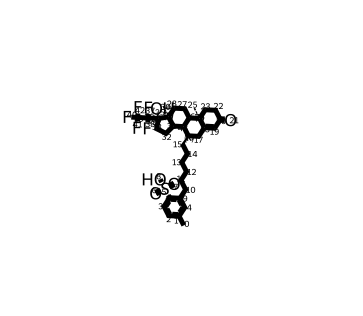 Cc1ccc(S(=O)(=O)O)c(CCCCCC[C@@H]2CC3=CC(=O)CC[C@]3(C)C3CC[C@@]4(C)C(CC[C@@]4(O)C(F)(F)C(F)(F)F)C32)c1